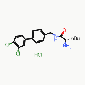 CCCC[C@H](N)C(=O)NCc1ccc(-c2ccc(Cl)c(Cl)c2)cc1.Cl